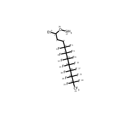 CCC(CCC(F)(F)C(F)(F)C(F)(F)C(F)(F)C(F)(F)C(F)(F)C(F)(F)C(F)(F)F)O[SiH3]